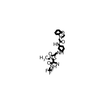 CCn1c(=C(C#N)C(=O)NCC(F)(F)F)sc(=CNc2cccc(NC(=O)CN3CCOc4ccccc43)c2)c1=O